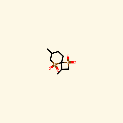 CC1CCC2(C(C)CS2(=O)=O)S(=O)(=O)C1